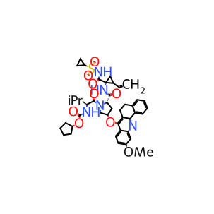 C=CC1CC1(NC(=O)[C@@H]1C[C@@H](Oc2c3c(nc4cc(OC)ccc24)-c2ccccc2CC3)CN1C(=O)[C@@H](NC(=O)OC1CCCC1)C(C)C)C(=O)NS(=O)(=O)C1CC1